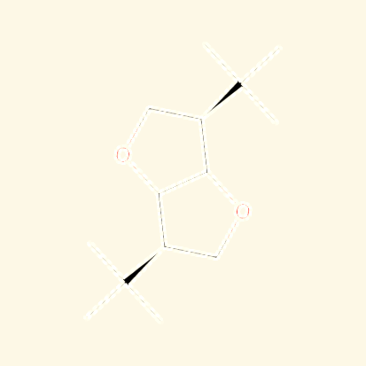 CC(C)(C)[C@@H]1COC2C1OC[C@H]2C(C)(C)C